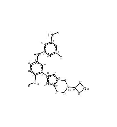 CNc1cc(C)nc(Nc2ccc(OC)c(-n3cc4c(n3)CCN(C3COC3)C4)c2)n1